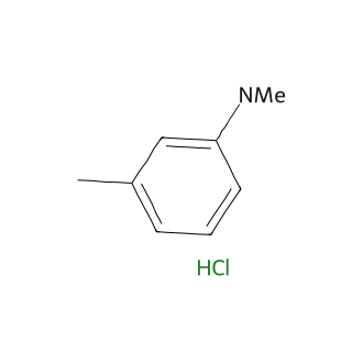 CNc1cccc(C)c1.Cl